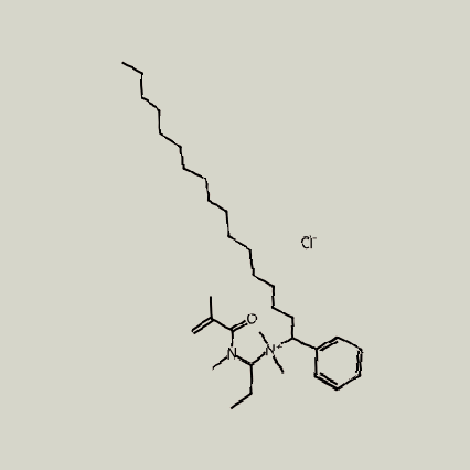 C=C(C)C(=O)N(C)C(CC)[N+](C)(C)C(CCCCCCCCCCCCCCCC)c1ccccc1.[Cl-]